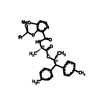 COc1ccnc(C(=O)N[C@@H](C)C(=O)O[C@@H](C)C(c2ccc(C)cc2)c2ccc(C)cc2)c1OC(=O)C(C)C